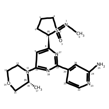 CN=S1(=O)CCC[C@@H]1c1cc(N2CCOC[C@H]2C)nc(-c2ccnc(N)c2)n1